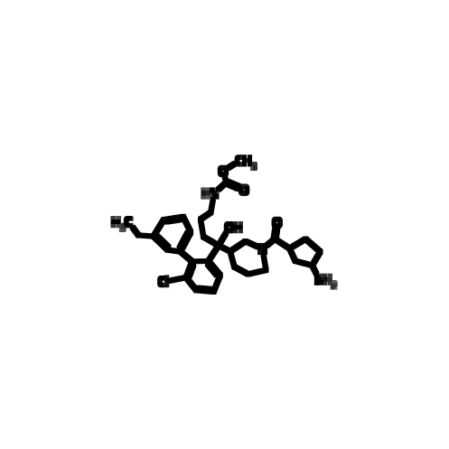 CCc1cccc(-c2c(Cl)cccc2C(O)(CCCNC(=O)OC)C2CCCN(C(=O)C3CCC(N)C3)C2)c1